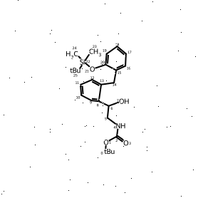 CC(C)(C)OC(=O)NCC(O)c1ccccc1Cc1ccccc1O[Si](C)(C)C(C)(C)C